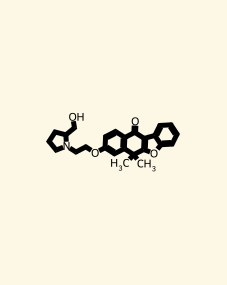 CC1(C)c2cc(OCCN3CCCC3CO)ccc2C(=O)c2c1oc1ccccc21